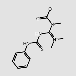 CN(C(=O)[O-])C(NC(=S)Nc1ccccc1)=[N+](C)C